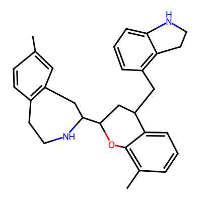 Cc1ccc2c(c1)CC(C1CC(Cc3cccc4c3CCN4)c3cccc(C)c3O1)NCC2